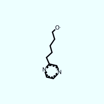 [O]CCCCCc1cnccn1